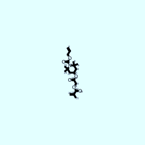 C=CCOC(=O)N1C(C)(C)CC(OC(=O)COC(=O)C(=C)C)CC1(C)C